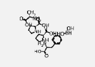 C[C@H](N)C(=O)O.N[C@@H](Cc1ccccc1)C(=O)O.O=C(O)[C@@H]1CCCN1.O=C(O)[C@@H]1CCCN1.OBO